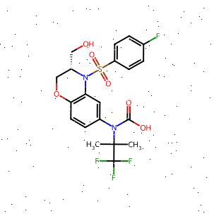 CC(C)(N(C(=O)O)c1ccc2c(c1)N(S(=O)(=O)c1ccc(F)cc1)[C@@H](CO)CO2)C(F)(F)F